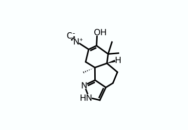 [C-]#[N+]C1=C(O)C(C)(C)[C@@H]2CCc3c[nH]nc3[C@@]2(C)C1